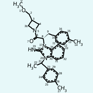 COCC1CN(C(=O)[C@H](Cc2ccc(C)cc2)n2c(=N)n(C(C)c3ccc(C)cc3)c3ccccc32)C1